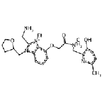 CC[n+]1c(CN)n(CC2CCCO2)c2cccc(OCC(=O)N(C)Cc3nc(C)ccc3O)c21